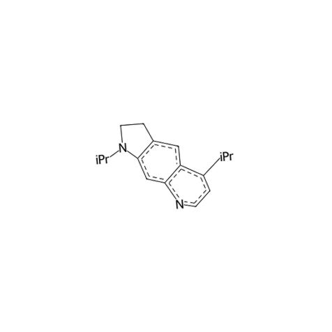 CC(C)c1ccnc2cc3c(cc12)CCN3C(C)C